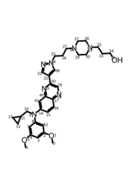 COc1cc(OC)cc(N(CC2CC2)c2ccc3ncc(-c4cnn(CCCN5CCN(CCCO)CC5)c4)nc3c2)c1